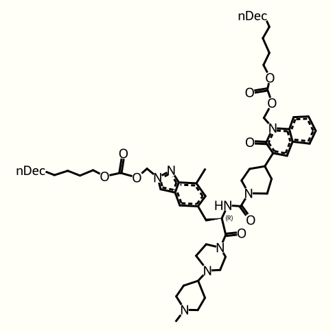 CCCCCCCCCCCCCCOC(=O)OCn1cc2cc(C[C@@H](NC(=O)N3CCC(c4cc5ccccc5n(COC(=O)OCCCCCCCCCCCCCC)c4=O)CC3)C(=O)N3CCN(C4CCN(C)CC4)CC3)cc(C)c2n1